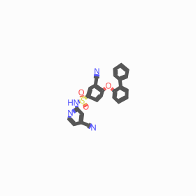 N#Cc1ccnc(NS(=O)(=O)c2ccc(Oc3ccccc3-c3ccccc3)c(C#N)c2)c1